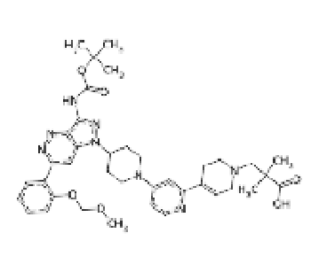 COCOc1ccccc1-c1cc2c(nn1)c(NC(=O)OC(C)(C)C)nn2C1CCN(c2ccnc(C3=CCN(CC(C)(C)C(=O)O)CC3)c2)CC1